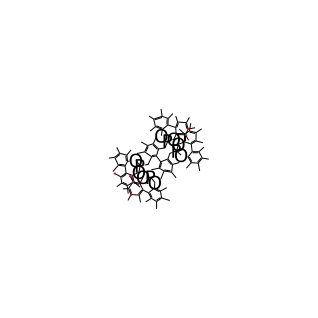 Cc1c(C)c(Cp2oc3c(C)c(C)c(C)c(C)c3c3c(C)c(C)c(C)c(C)c3o2)c(-c2c(Cp3oc4c(C)c(C)c(C)c(C)c4c4c(C)c(C)c(C)c(C)c4o3)c(C)c(C)c(C)c2Cp2oc3c(C)c(C)c(C)c(C)c3c3c(C)c(C)c(C)c(C)c3o2)c(Cp2oc3c(C)c(C)c(C)c(C)c3c3c(C)c(C)c(C)c(C)c3o2)c1C